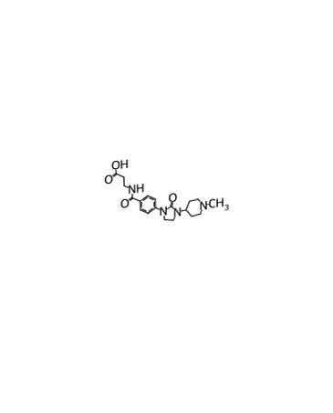 CN1CCC(N2CCN(c3ccc(C(=O)NCCC(=O)O)cc3)C2=O)CC1